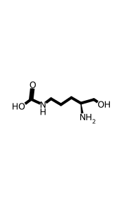 N[C@H](CO)CCCNC(=O)O